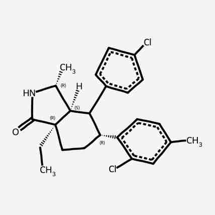 CC[C@@]12CC[C@@H](c3ccc(C)cc3Cl)C(c3ccc(Cl)cc3)[C@@H]1[C@@H](C)NC2=O